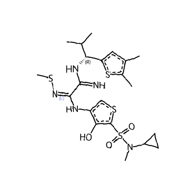 CS/N=C(/Nc1csc(S(=O)(=O)N(C)C2CC2)c1O)C(=N)N[C@@H](c1cc(C)c(C)s1)C(C)C